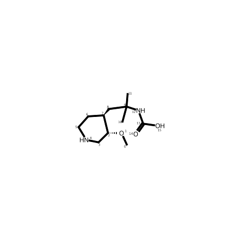 CO[C@@H]1CNCC[C@H]1CC(C)(C)NC(=O)O